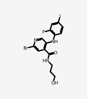 O=C(NCCCO)c1cc(Br)ncc1Nc1ccc(I)cc1F